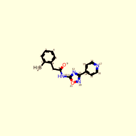 Bc1ccccc1CC(=O)Nc1nc(-c2ccncc2)no1